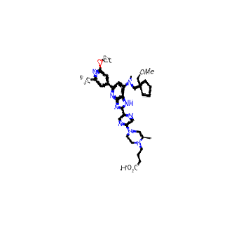 CCOc1cc(-c2cc(N(C)CC3(COC)CCCC3)c3[nH]c(-c4cnc(N5CCN(CCCC(=O)O)[C@H](C)C5)cn4)nc3n2)cc(C(F)(F)F)n1